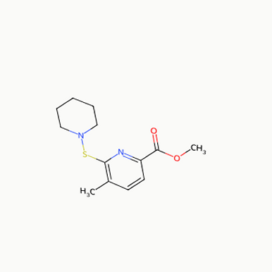 COC(=O)c1ccc(C)c(SN2CCCCC2)n1